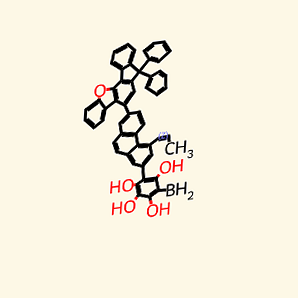 Bc1c(O)c(O)c(O)c(-c2cc(/C=C\C)c3c(ccc4cc(-c5cc6c(c7oc8ccccc8c57)-c5ccccc5C6(c5ccccc5)c5ccccc5)ccc43)c2)c1O